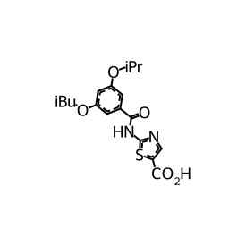 CCC(C)Oc1cc(OC(C)C)cc(C(=O)Nc2ncc(C(=O)O)s2)c1